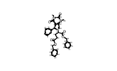 Cn1c(=O)c2c(-c3ccccc3)n(C(CCC(=O)OCc3ccccc3)C(=O)OCc3ccccc3)cc2n(C)c1=O